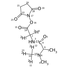 [2H]C([2H])(N[13C](=O)C(C)[15N](C)C([2H])([2H])[2H])C(=O)ON1C(=O)CCC1=O